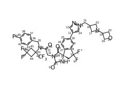 O=C1N[C@]2(CC(F)(F)c3cc(-c4cnn(CC5CN(C6COC6)C5)c4)ccc32)C(=O)N1CC(=O)N(Cc1ccc(F)cc1)C1(C(F)(F)F)CC(F)(F)C1